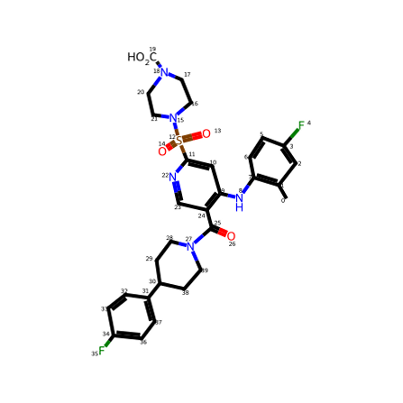 Cc1cc(F)ccc1Nc1cc(S(=O)(=O)N2CCN(C(=O)O)CC2)ncc1C(=O)N1CCC(c2ccc(F)cc2)CC1